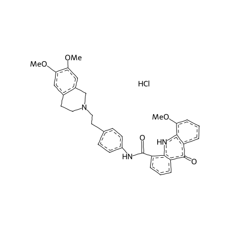 COc1cc2c(cc1OC)CN(CCc1ccc(NC(=O)c3cccc4c(=O)c5cccc(OC)c5[nH]c34)cc1)CC2.Cl